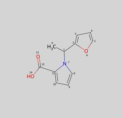 CC(c1ccco1)n1cccc1C(=O)O